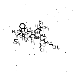 C=CCNC(=O)C(=O)[C@H](CCCC)NC(=O)[C@@H]1[C@@H]2[C@H](CN1C(=O)[C@@H](NC(=O)NC1(CS(=O)(=O)C(C)(C)COCC)CCCCC1)C(C)(C)C)C2(C)C